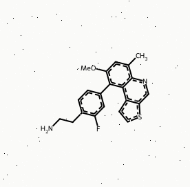 COc1cc(C)c2ncc3sccc3c2c1-c1ccc(CCN)c(F)c1